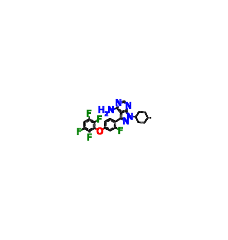 Nc1ncnc2c1c(-c1ccc(Oc3c(F)c(F)cc(F)c3F)cc1F)nn2C1CC[CH]CC1